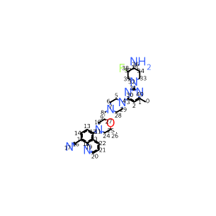 Cc1cc(N2CCN(C[C@H]3CN(c4ccc(C#N)c5ncccc45)C[C@@H](C)O3)CC2)nc(N2CC[C@@H](N)[C@H](F)C2)n1